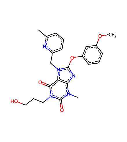 Cc1cccc(Cn2c(Oc3cccc(OC(F)(F)F)c3)nc3c2c(=O)n(CCCO)c(=O)n3C)n1